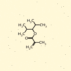 C=C(C)C(=O)OC(C(C)C)C(C)C